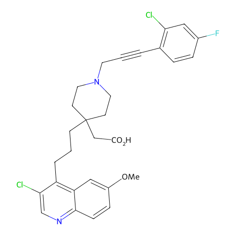 COc1ccc2ncc(Cl)c(CCCC3(CC(=O)O)CCN(CC#Cc4ccc(F)cc4Cl)CC3)c2c1